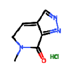 CN1CC=C2C=NN=C2C1=O.Cl